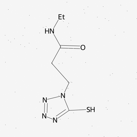 CCNC(=O)CCn1nnnc1S